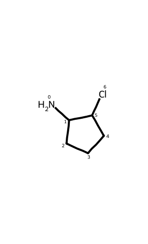 NC1CCCC1Cl